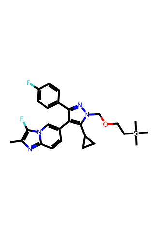 Cc1nc2ccc(-c3c(-c4ccc(F)cc4)nn(COCC[Si](C)(C)C)c3C3CC3)cn2c1F